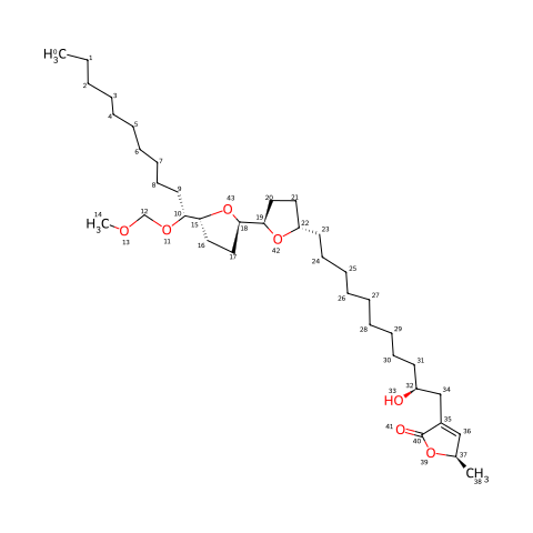 CCCCCCCCCC[C@@H](OCOC)[C@H]1CC[C@H]([C@H]2CC[C@H](CCCCCCCCC[C@H](O)CC3=C[C@@H](C)OC3=O)O2)O1